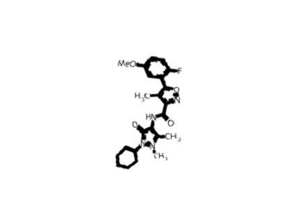 COc1ccc(F)c(-c2onc(C(=O)Nc3c(C)n(C)n(C4CCCCC4)c3=O)c2C)c1